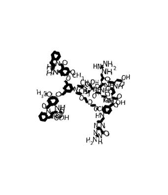 COCCOCCOCCN(CC(C)(C)SSC[C@@H](NC(=O)[C@@H](CC(=O)O)NC(=O)[C@@H](CCCNC(=N)N)NC(=O)[C@@H](CC(=O)O)NC(=O)CC[C@@H](NC(=O)c1ccc(NCc2cnc3nc(N)[nH]c(=O)c3n2)cc1)C(=O)O)C(=O)O)c1cc(COc2cc3c(cc2OC)C(=O)N2c4ccccc4C[C@H]2CN3)cc(COc2cc3c(cc2OC)C(=O)N2c4ccccc4C[C@H]2C(S(=O)(=O)O)N3)c1